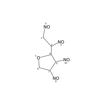 O=NCC(N=O)C1OCC(N=O)C1N=O